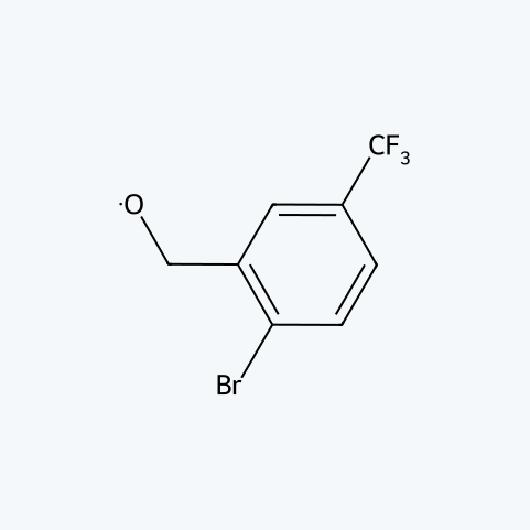 [O]Cc1cc(C(F)(F)F)ccc1Br